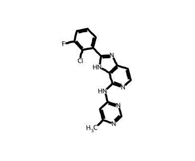 Cc1cc(Nc2nccc3nc(-c4cccc(F)c4Cl)[nH]c23)ncn1